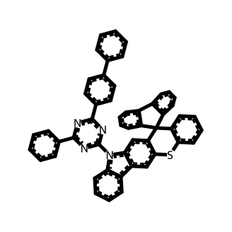 c1ccc(-c2ccc(-c3nc(-c4ccccc4)nc(-n4c5ccccc5c5cc6c(cc54)C4(c5ccccc5S6)c5ccccc5-c5ccccc54)n3)cc2)cc1